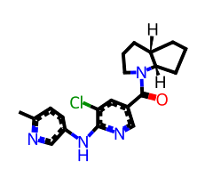 Cc1ccc(Nc2ncc(C(=O)N3CCC[C@@H]4CCC[C@@H]43)cc2Cl)cn1